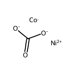 O=C([O-])[O-].[Co].[Ni+2]